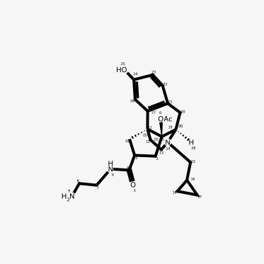 CC(=O)O[C@@]12CC(C(=O)NCCN)C[C@@]13CCN(CC1CC1)[C@@H]2Cc1ccc(O)cc13